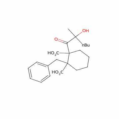 CCCCC(C)(O)C(=O)C1(C(=O)O)CCCCC1(Cc1ccccc1)C(=O)O